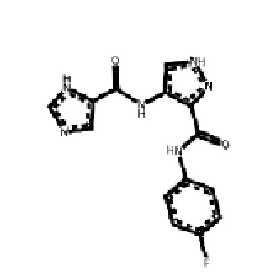 O=C(Nc1c[nH]nc1C(=O)Nc1ccc(F)cc1)c1cnc[nH]1